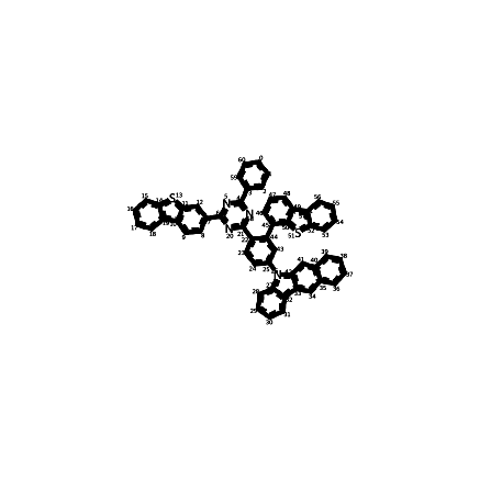 c1ccc(-c2nc(-c3ccc4c(c3)sc3ccccc34)nc(-c3ccc(-n4c5ccccc5c5cc6ccccc6cc54)cc3-c3cccc4c3sc3ccccc34)n2)cc1